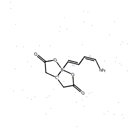 CCC/C=C\C=C\[B-]12OC(=O)C[C+]1CC(=O)O2